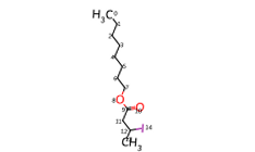 CCCCCCCCOC(=O)CC(C)I